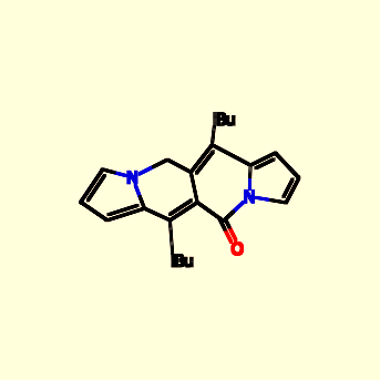 CCC(C)C1=c2c(c(C(C)CC)c3cccn3c2=O)Cn2cccc21